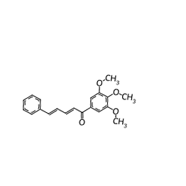 COc1cc(C(=O)/C=C/C=C/c2ccccc2)cc(OC)c1OC